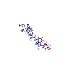 Cn1c(=O)n(C2CCC(=O)NC2=O)c2cccc(CCC(=O)N3CCC4(CC3)CN(C(=O)O)C4C(C)(C)C)c21